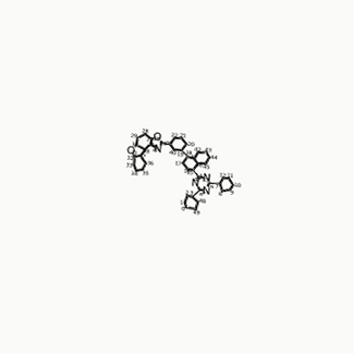 c1ccc(-c2nc(-c3ccccc3)nc(-c3ccc(-c4cccc(-c5nc6c(ccc7oc8ccccc8c76)o5)c4)c4ccccc34)n2)cc1